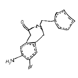 Nc1cc2c(cc1Br)CN(Cc1ccccc1)C2=O